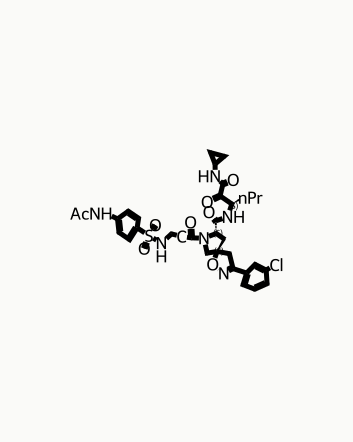 CCC[C@H](NC(=O)[C@@H]1C[C@]2(CC(c3cccc(Cl)c3)=NO2)CN1C(=O)CCNS(=O)(=O)c1ccc(NC(C)=O)cc1)C(=O)C(=O)NC1CC1